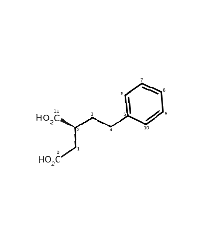 O=C(O)C[C@H](CCc1ccccc1)C(=O)O